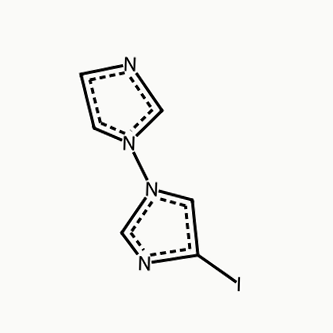 Ic1cn(-n2ccnc2)cn1